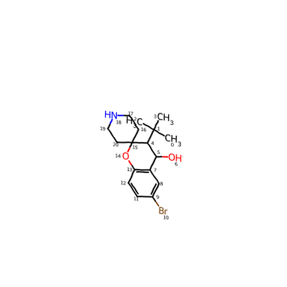 CC(C)(C)C1C(O)c2cc(Br)ccc2OC12CCNCC2